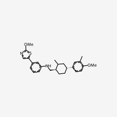 COc1ncc(-c2cccc(NC[C@@H]3CC[C@@H](c4ccc(OC)c(C)c4)CC3C)c2)s1